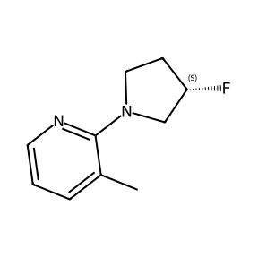 Cc1cccnc1N1CC[C@H](F)C1